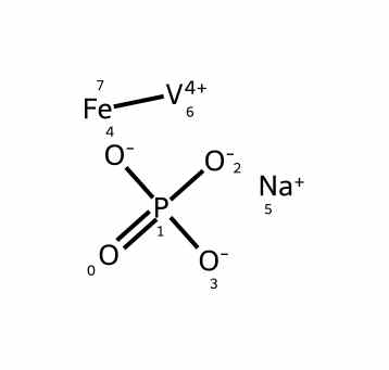 O=P([O-])([O-])[O-].[Na+].[V+4][Fe]